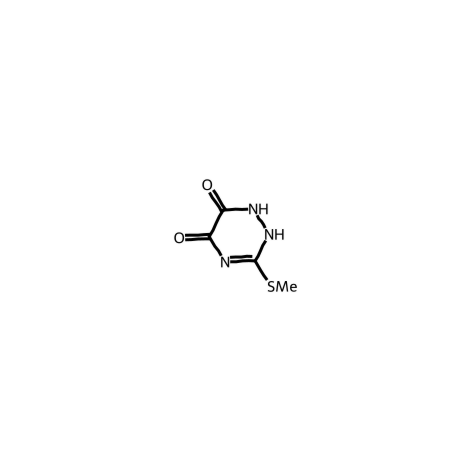 CSc1nc(=O)c(=O)[nH][nH]1